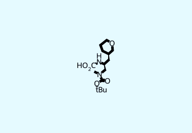 CN(C[C@H](C[C@H]1CCCOC1)NC(=O)O)C(=O)OC(C)(C)C